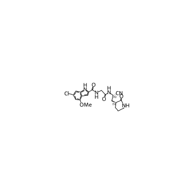 COc1cc(Cl)cc2[nH]c(C(=O)NCC(=O)N[C@H](C#N)C[C@@H]3CCCNC3=O)cc12